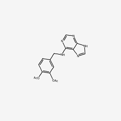 CC(=O)Oc1ccc(CNc2ncnc3[nH]cnc23)cc1OC(C)=O